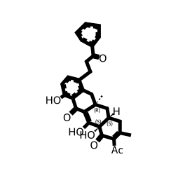 CC(=O)C1=C(C)C[C@@H]2C[C@]3(C)Cc4c(CCC(=O)c5ccccc5)ccc(O)c4C(=O)C3=C(O)[C@]2(O)C1=O